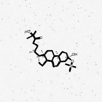 C[C@H](CCC(=O)C(C)(C)O)[C@H]1CCC2C3=CC=C4C[C@](O)(O[Si](C)(C)C)CC[C@]4(C)C3CC[C@@]21C